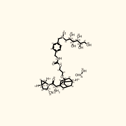 CCN(Cc1ccc(CNC(=O)OCCOC23CC4C[C@H](C2)CC([C@H](N)C(=O)N2[C@H](C#N)C[C@@H]5C[C@@H]52)(C4)C3)cc1)C[C@H](O)[C@@H](O)[C@H](O)[C@H](O)CO.O=CO